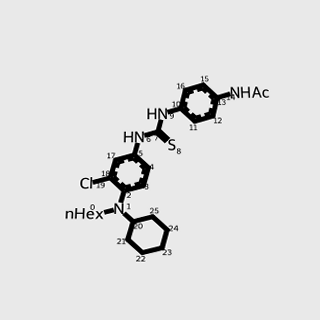 CCCCCCN(c1ccc(NC(=S)Nc2ccc(NC(C)=O)cc2)cc1Cl)C1CCCCC1